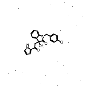 O=C(CC1(O)C(=O)N(Cc2ccc(Cl)cc2)c2ccccc21)c1ccc[nH]1